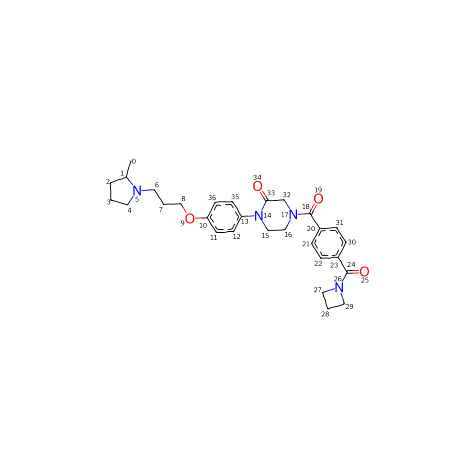 CC1CCCN1CCCOc1ccc(N2CCN(C(=O)c3ccc(C(=O)N4CCC4)cc3)CC2=O)cc1